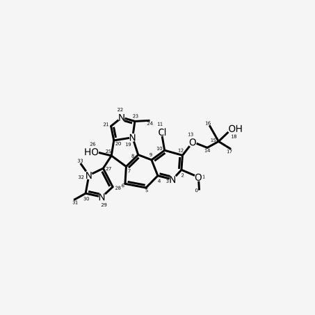 COc1nc2ccc3c(c2c(Cl)c1OCC(C)(C)O)-n1c(cnc1C)C3(O)c1cnc(C)n1C